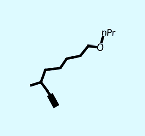 C#CC(C)CCCCCOCC[CH2]